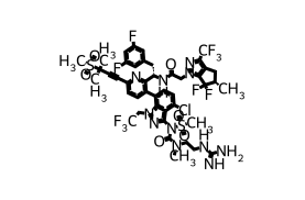 C[C@@H]1Cc2c(C(F)(F)F)nn(CC(=O)N[C@@H](Cc3cc(F)cc(F)c3)c3nc(C#CC(C)(C)S(C)(=O)=O)ccc3-c3ccc(Cl)c4c(N(C(=O)N(C)CCNC(=N)N)S(C)(=O)=O)nn(CC(F)(F)F)c34)c2C1(F)F